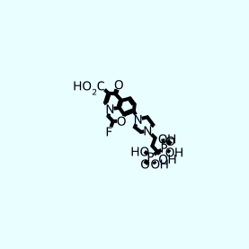 O=C(O)c1cn2c3c(c(N4CCN(CCC(O)(P(=O)(O)O)P(=O)(O)O)CC4)ccc3c1=O)OC(F)C2